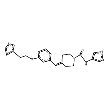 O=C(Nc1cnoc1)N1CCC(=Cc2cccc(OCCc3ccsc3)c2)CC1